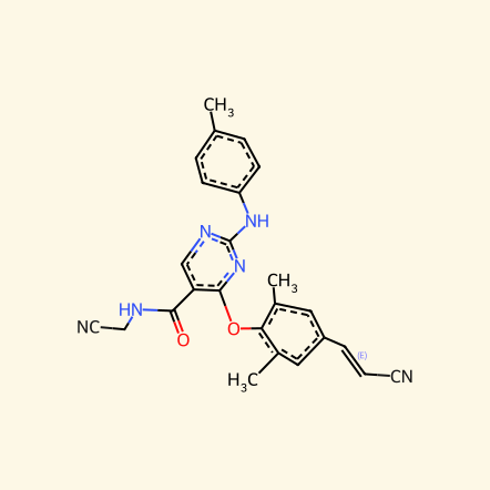 Cc1ccc(Nc2ncc(C(=O)NCC#N)c(Oc3c(C)cc(/C=C/C#N)cc3C)n2)cc1